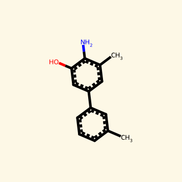 Cc1cccc(-c2cc(C)c(N)c(O)c2)c1